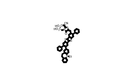 CCN1c2ccccc2CCc2cc(-c3cc4c(cc3-c3ccccc3)sc3c5cc(/C=c6/s/c(=C(\C#N)C(=O)O)n(CC(=O)O)c6=O)c(-c6ccccc6)cc5sc43)ccc21